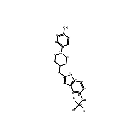 Oc1ccc(N2CCC(Cc3cc4cc(OC(F)(F)F)ccc4o3)CC2)cc1